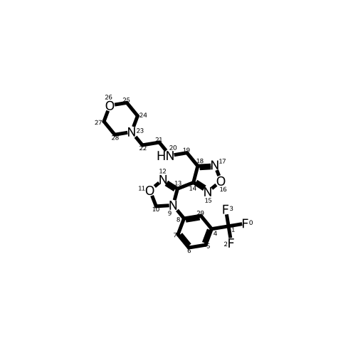 FC(F)(F)c1cccc(N2CON=C2c2nonc2CNCCN2CCOCC2)c1